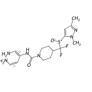 Cc1cc([S+]([O-])C(F)(F)C2CCN(C(=O)NC(/C=C\N)=C/N)CC2)n(C)n1